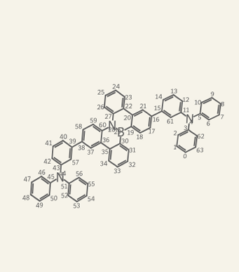 c1ccc(N(c2ccccc2)c2cccc(-c3ccc4c(c3)-c3ccccc3N3B4c4ccccc4-c4cc(-c5cccc(N(c6ccccc6)c6ccccc6)c5)ccc43)c2)cc1